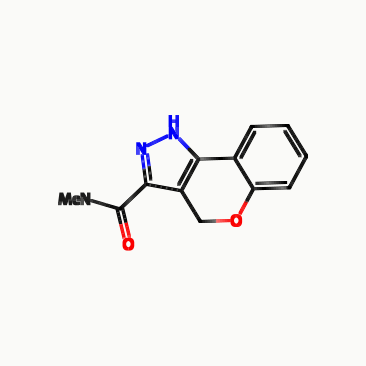 CNC(=O)c1n[nH]c2c1COc1ccccc1-2